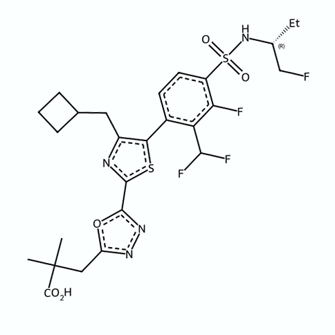 CC[C@H](CF)NS(=O)(=O)c1ccc(-c2sc(-c3nnc(CC(C)(C)C(=O)O)o3)nc2CC2CCC2)c(C(F)F)c1F